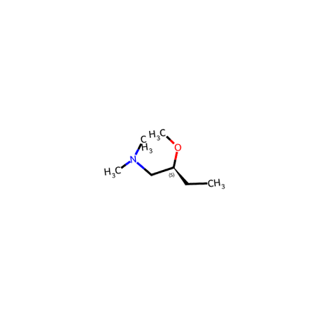 CC[C@@H](CN(C)C)OC